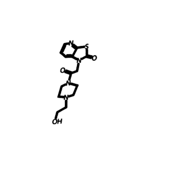 O=C(Cn1c(=O)sc2ncccc21)N1CCN(CCO)CC1